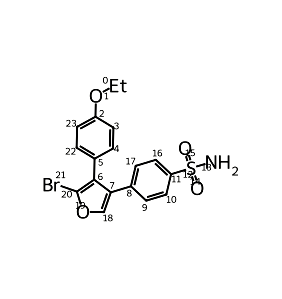 CCOc1ccc(-c2c(-c3ccc(S(N)(=O)=O)cc3)coc2Br)cc1